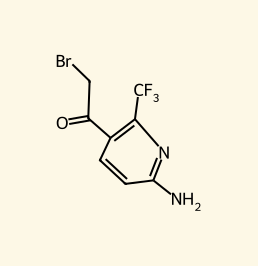 Nc1ccc(C(=O)CBr)c(C(F)(F)F)n1